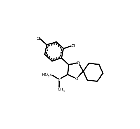 CN(C1OC2(CCCCC2)OC1c1ccc(Cl)cc1Cl)S(=O)(=O)O